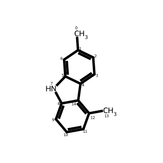 Cc1ccc2c(c1)[nH]c1cccc(C)c12